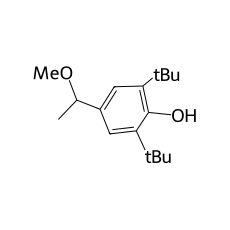 COC(C)c1cc(C(C)(C)C)c(O)c(C(C)(C)C)c1